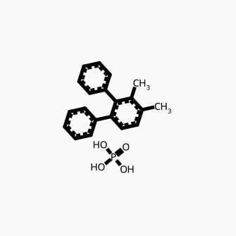 Cc1ccc(-c2ccccc2)c(-c2ccccc2)c1C.O=P(O)(O)O